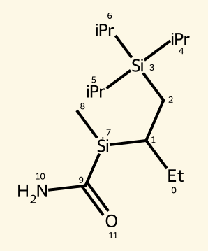 CCC(C[Si](C(C)C)(C(C)C)C(C)C)[Si](C)C(N)=O